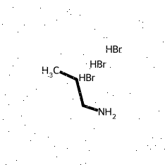 Br.Br.Br.CCCN